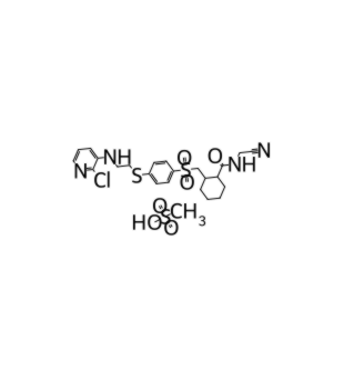 CS(=O)(=O)O.N#CCNC(=O)C1CCCCC1CS(=O)(=O)c1ccc(SCCNc2cccnc2Cl)cc1